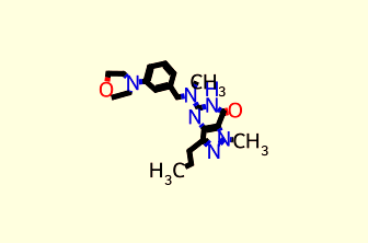 CCCc1nn(C)c2c(=O)[nH]c(N(C)Cc3cccc(N4CCOCC4)c3)nc12